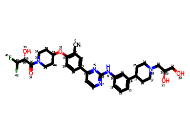 N#Cc1cc(-c2ccnc(Nc3cccc(C4CCN(C[C@H](O)CO)CC4)c3)n2)ccc1OC1CCN(C(=O)[C@@H](O)C(F)F)CC1